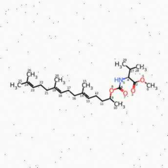 COC(=O)[C@@H](NC(=O)OC(C)CC/C=C(\C)CC/C=C(\C)CCC=C(C)C)C(C)C